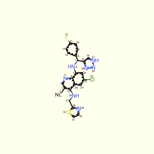 N#Cc1cnc2c(N[C@@H](c3ccc(F)cc3)c3c[nH]nn3)cc(Cl)cc2c1NCc1nccs1